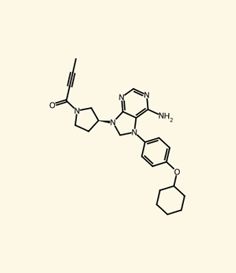 CC#CC(=O)N1CC[C@H](N2CN(c3ccc(OC4CCCCC4)cc3)c3c(N)ncnc32)C1